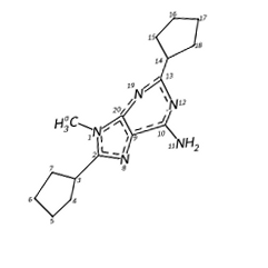 Cn1c(C2CCCC2)nc2c(N)nc(C3CCCC3)nc21